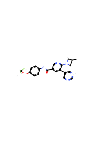 CC1CN(c2ncc(C(=O)Nc3ccc(OC(F)(F)F)cc3)cc2-c2cncnc2)C1